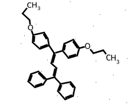 CCCOc1ccc(C(=CC=C(c2ccccc2)c2ccccc2)c2ccc(OCCC)cc2)cc1